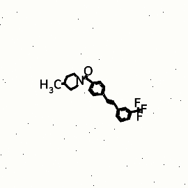 CC1CCN(C(=O)c2ccc(C#Cc3cccc(C(F)(F)F)c3)cc2)CC1